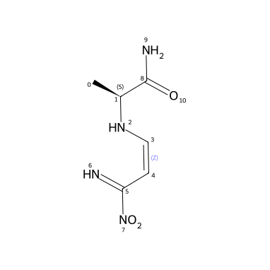 C[C@H](N/C=C\C(=N)[N+](=O)[O-])C(N)=O